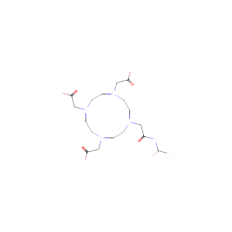 CC(O)NC(=O)CN1CCN(CC(=O)O)CCN(CC(=O)O)CCN(CC(=O)O)CC1